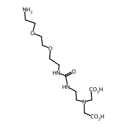 NCCOCCOCCNC(=O)NCCN(CC(=O)O)CC(=O)O